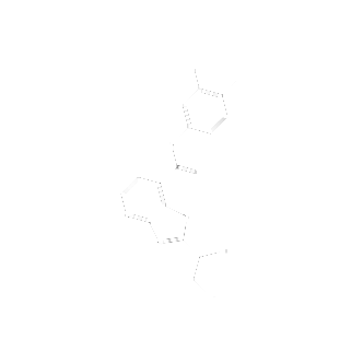 O=C(Nc1ccc(F)c(Cl)c1)c1ccnc2nc(C(O)CO)[nH]c12